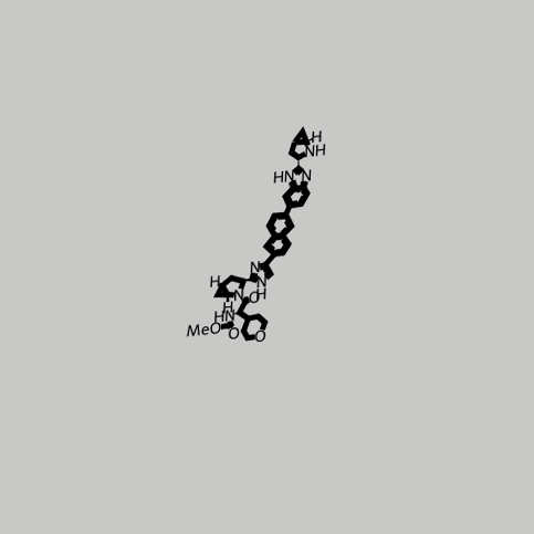 COC(=O)N[C@H](C(=O)N1[C@@H]2C[C@@H]2C[C@H]1c1nc(-c2ccc3cc(-c4ccc5nc([C@@H]6CC7C[C@H]7N6)[nH]c5c4)ccc3c2)c[nH]1)C1CCOCC1